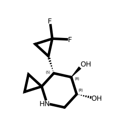 O[C@H]1[C@H](O)CNC2(CC2)[C@@H]1C1CC1(F)F